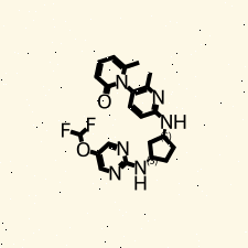 Cc1nc(N[C@H]2CC[C@H](Nc3ncc(OC(F)F)cn3)C2)ccc1-n1c(C)cccc1=O